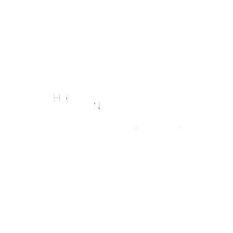 CN1CC2CC3CC2C31